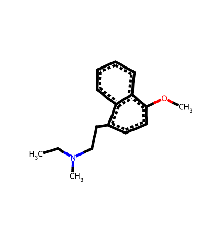 CCN(C)CCc1ccc(OC)c2ccccc12